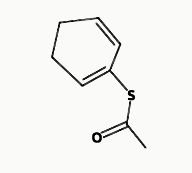 CC(=O)SC1=CCCC=C1